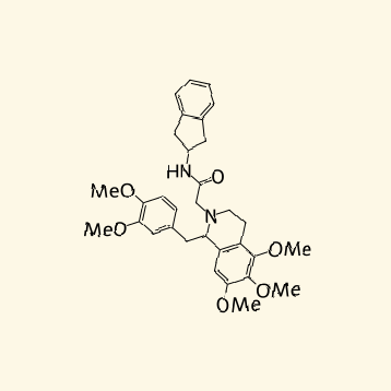 COc1ccc(CC2c3cc(OC)c(OC)c(OC)c3CCN2CC(=O)NC2Cc3ccccc3C2)cc1OC